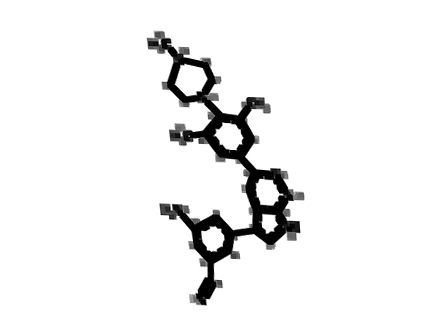 Cc1cc(-c2cc3c(-c4cc(N)cc(C#N)c4)c[nH]c3nn2)cc(C)c1N1CCN(C)CC1